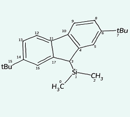 C[Si](C)C1c2cc(C(C)(C)C)ccc2-c2ccc(C(C)(C)C)cc21